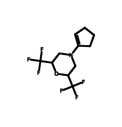 FC(F)(F)C1CN(C2=CCCC2)CC(C(F)(F)F)O1